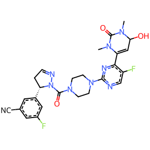 CN1C(=O)N(C)C(O)C=C1c1nc(N2CCN(C(=O)N3N=CC[C@H]3c3cc(F)cc(C#N)c3)CC2)ncc1F